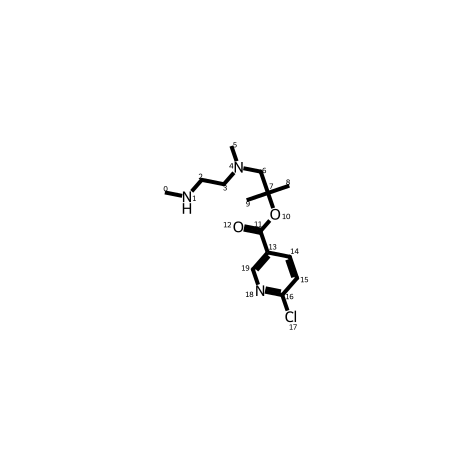 CNCCN(C)CC(C)(C)OC(=O)c1ccc(Cl)nc1